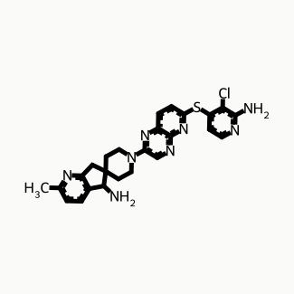 Cc1ccc2c(n1)CC1(CCN(c3cnc4nc(Sc5ccnc(N)c5Cl)ccc4n3)CC1)C2N